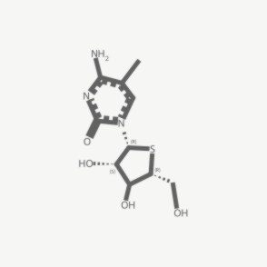 Cc1cn([C@@H]2S[C@H](CO)C(O)[C@@H]2O)c(=O)nc1N